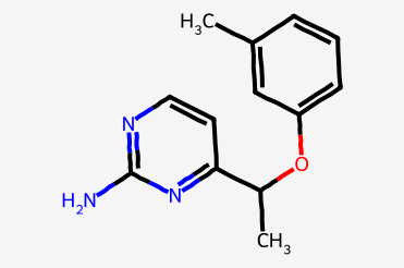 Cc1cccc(OC(C)c2ccnc(N)n2)c1